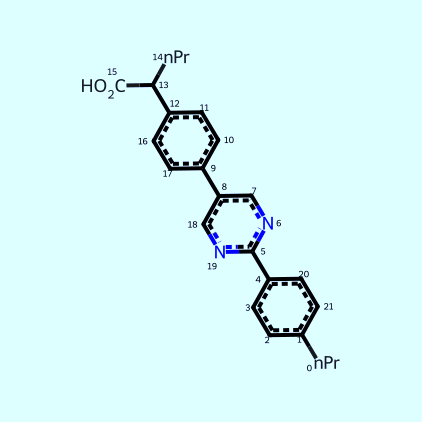 CCCc1ccc(-c2ncc(-c3ccc(C(CCC)C(=O)O)cc3)cn2)cc1